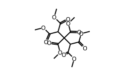 COC(=O)C(C(=O)OC)C(C(=O)OC)(C(=O)OC)C(C(=O)OC)C(=O)OC